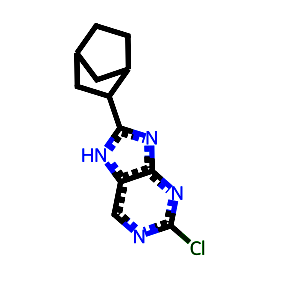 Clc1ncc2[nH]c(C3CC4CCC3C4)nc2n1